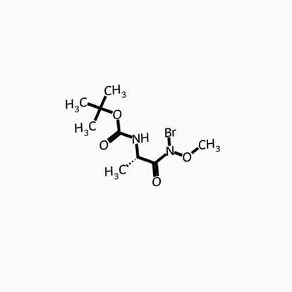 CON(Br)C(=O)[C@H](C)NC(=O)OC(C)(C)C